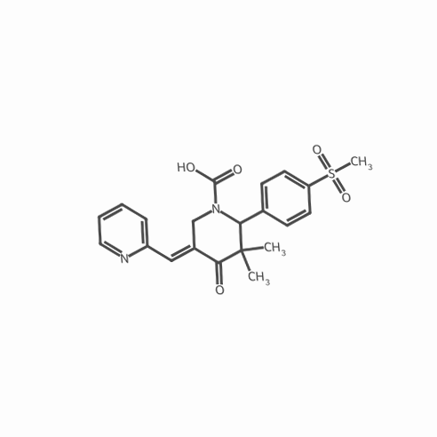 CC1(C)C(=O)C(=Cc2ccccn2)CN(C(=O)O)C1c1ccc(S(C)(=O)=O)cc1